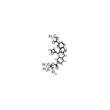 COC(=O)c1ccc2nc(CC3CCN(C(=O)OC(C)(C)C)CC3)n(C[C@@H]3CCO3)c2n1